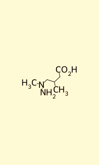 CC(CC(=O)O)CN(C)N